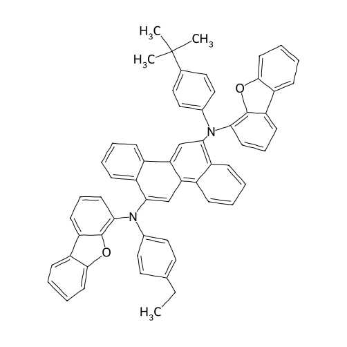 CCc1ccc(N(c2cc3c4ccccc4c(N(c4ccc(C(C)(C)C)cc4)c4cccc5c4oc4ccccc45)cc3c3ccccc23)c2cccc3c2oc2ccccc23)cc1